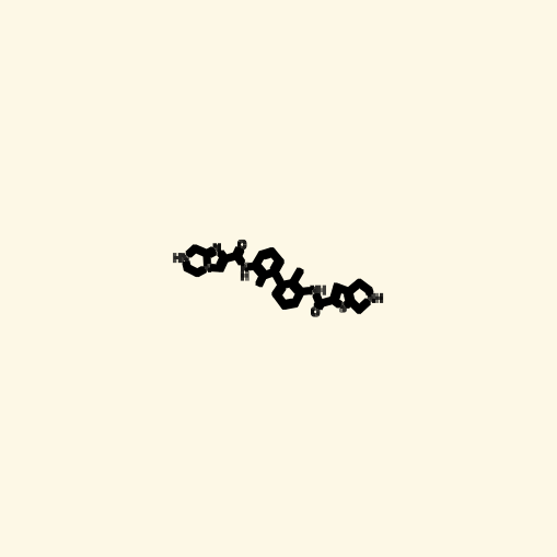 Cc1c(NC(=O)c2cn3c(n2)CNCC3)cccc1-c1cccc(NC(=O)c2cc3c(s2)CNCC3)c1C